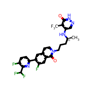 C[C@@H](CCCn1ccc2cc(-c3ccc(F)c(C(F)F)n3)c(F)cc2c1=O)Nc1cn[nH]c(=O)c1C(F)(F)F